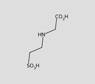 O=C(O)CNCCS(=O)(=O)O